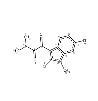 CN(C)C(=O)C(=O)c1c(Cl)n(C)c2cc(Cl)ccc12